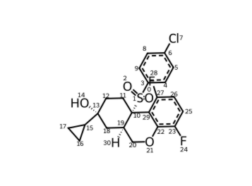 O=S(=O)(c1ccc(Cl)cc1)[C@@]12CC[C@](O)(C3CC3)C[C@@H]1COc1c(F)ccc(F)c12